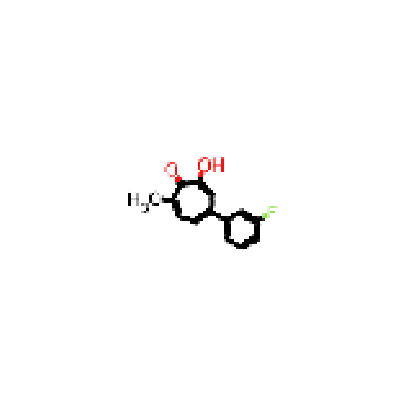 Cc1ccc(-c2cccc(F)c2)cc(O)c1=O